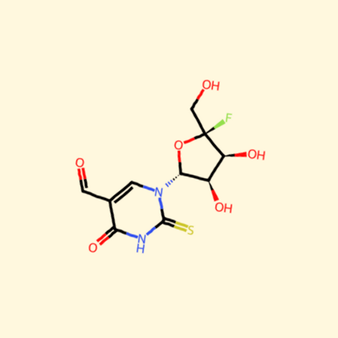 O=Cc1cn([C@@H]2O[C@](F)(CO)[C@@H](O)[C@H]2O)c(=S)[nH]c1=O